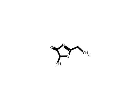 CCC1=NC(=O)C(S)S1